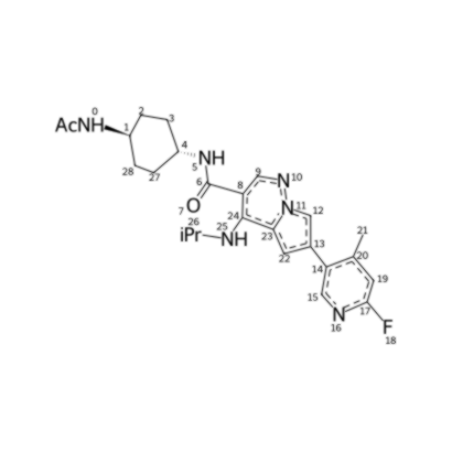 CC(=O)N[C@H]1CC[C@H](NC(=O)c2cnn3cc(-c4cnc(F)cc4C)cc3c2NC(C)C)CC1